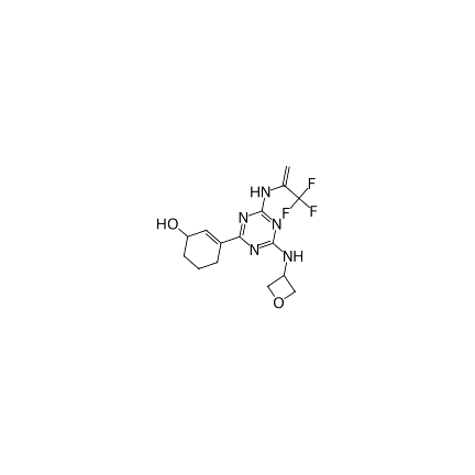 C=C(Nc1nc(NC2COC2)nc(C2=CC(O)CCC2)n1)C(F)(F)F